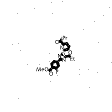 CCC(Oc1ccc(C(=O)C(C)C)nc1)c1nc(-c2ccc(C(=O)OC)c(F)c2)no1